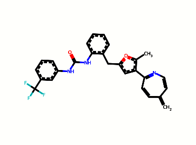 C=C1C=CN=C(c2cc(Cc3ccccc3NC(=O)Nc3cccc(C(F)(F)F)c3)oc2C)C=C1